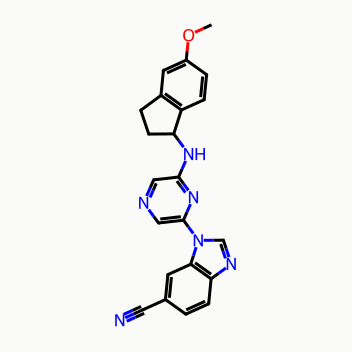 COc1ccc2c(c1)CCC2Nc1cncc(-n2cnc3ccc(C#N)cc32)n1